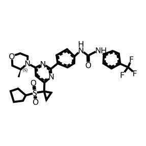 C[C@H]1COCCN1c1cc(C2(S(=O)(=O)C3CCCC3)CC2)nc(-c2ccc(NC(=O)Nc3ccc(C(F)(F)F)cc3)cc2)n1